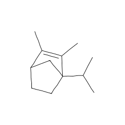 CC1=C(C)C2(C(C)C)CCC1C2